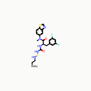 CNCCNSNC(=O)NC(Cc1cc(F)cc(F)c1)C(=O)N(C)c1ccc2scnc2c1